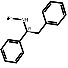 CC(C)N[C@@H](Cc1ccccc1)c1ccccc1